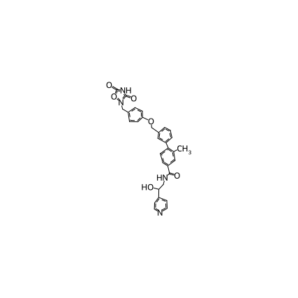 Cc1cc(C(=O)NCC(O)c2ccncc2)ccc1-c1cccc(COc2ccc(Cn3oc(=O)[nH]c3=O)cc2)c1